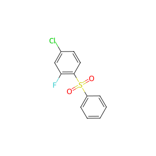 O=S(=O)(c1ccccc1)c1ccc(Cl)cc1F